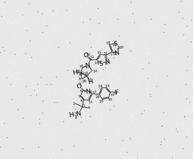 CC(C)(N)c1cc(O[C@@H]2[C@@H]3CN(C(=O)c4cc(-c5cscn5)ns4)C[C@@H]32)nc(-c2ccc(F)cc2)c1